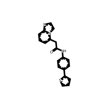 O=C(Cc1cccc2nccn12)Nc1ccc(-c2cccs2)cc1